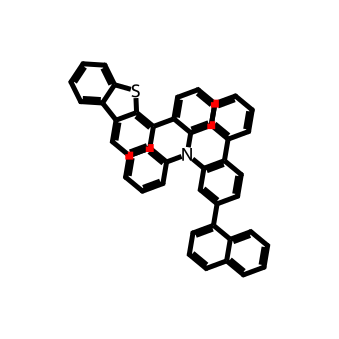 c1ccc(-c2ccc(-c3cccc4ccccc34)cc2N(c2ccccc2)c2ccccc2-c2cccc3c2sc2ccccc23)cc1